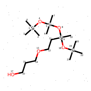 C[Si](C)(C)O[Si](C)(C)O[Si](C)(CCOCCCO)O[Si](C)(C)C